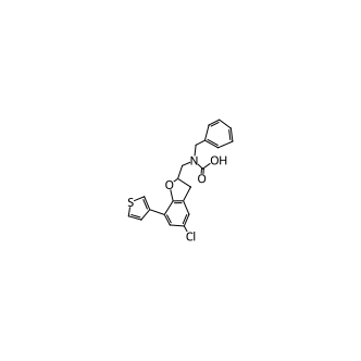 O=C(O)N(Cc1ccccc1)CC1Cc2cc(Cl)cc(-c3ccsc3)c2O1